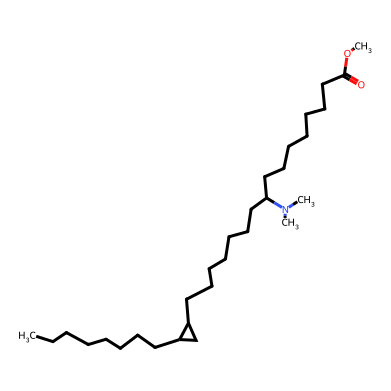 CCCCCCCCC1CC1CCCCCCCC(CCCCCCCC(=O)OC)N(C)C